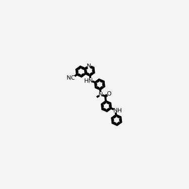 CN(C(=O)c1cccc(Nc2ccccc2)c1)c1cccc(Nc2ccnc3ccc(C#N)cc23)c1